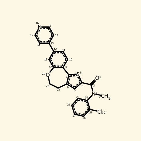 CN(C(=O)c1cc2c(s1)-c1ccc(-c3ccncc3)cc1OCC2)c1ccccc1Cl